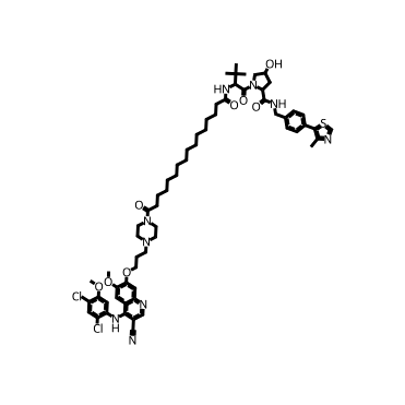 COc1cc(Nc2c(C#N)cnc3cc(OCCCN4CCN(C(=O)CCCCCCCCCCCCCCC(=O)NC(C(=O)N5CC(O)CC5C(=O)NCc5ccc(-c6scnc6C)cc5)C(C)(C)C)CC4)c(OC)cc23)c(Cl)cc1Cl